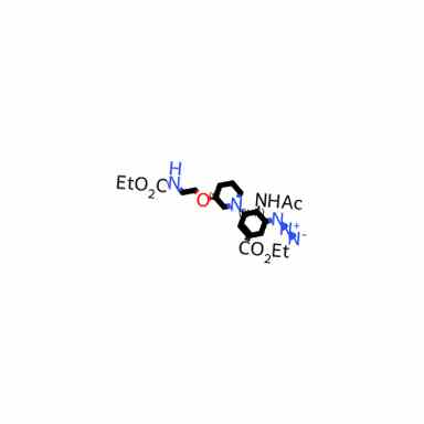 CCOC(=O)NCCO[C@H]1CCCN([C@@H]2C=C(C(=O)OCC)CC(N=[N+]=[N-])[C@H]2NC(C)=O)C1